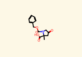 CC1(C(=O)O)CC(=O)CN1C(=O)OCc1ccccc1